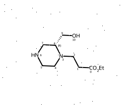 CCOC(=O)CCN1CCNC[C@@H]1CO